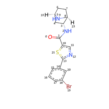 O=C(N[C@@H]1C[C@H]2CC[C@@H]1N2)c1cnc(-c2cccc(Br)c2)s1